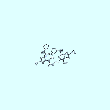 C=C(SCSc1nc(NC2CCCC2)c2nc(C3CC3)nc-2n1CCC)N(CCC)C1=NC(C2CC2)=N/C1=C(/N)NC1CCCC1